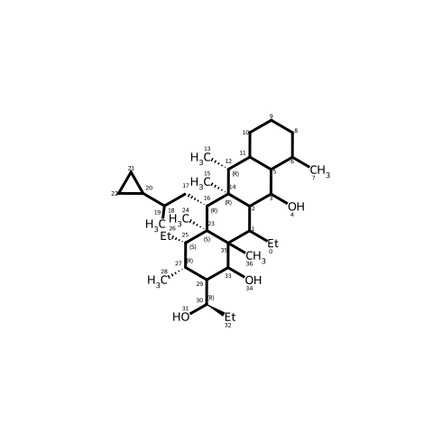 CCC1C2C(O)C3C(C)CCCC3[C@@H](C)[C@]2(C)[C@@H](CC(C)C2CC2)[C@]2(C)[C@@H](CC)[C@@H](C)C([C@H](O)CC)C(O)C12C